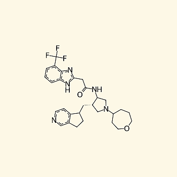 O=C(Cc1nc2c(C(F)(F)F)cccc2[nH]1)NC1CN(C2CCCOCC2)C[C@@H]1CC1CCc2cnccc21